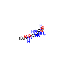 CC(C)(C)c1cc(NC(=O)Nc2ccc(Nc3ncnc(N)c3C(=N)c3ccc(NS(C)(=O)=O)cc3)cc2)no1